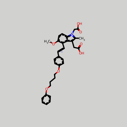 COc1ccc2c(c1/C=C/c1ccc(OCCCCOc3ccccc3)cc1)c(CC(=O)O)c(C)n2CC(=O)O